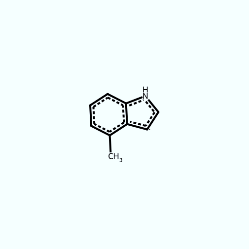 Cc1cccc2[nH]c[c]c12